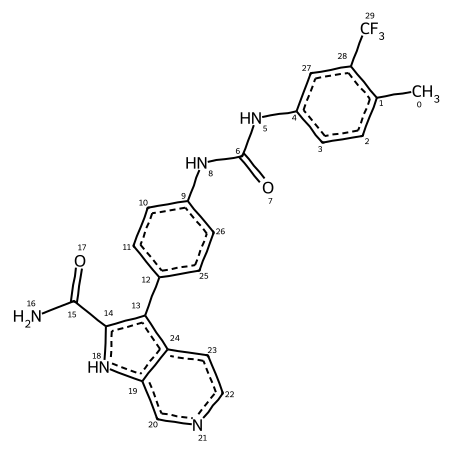 Cc1ccc(NC(=O)Nc2ccc(-c3c(C(N)=O)[nH]c4cnccc34)cc2)cc1C(F)(F)F